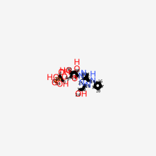 CC(CO)(OC[C@H]1O[C@@H](n2ncc3c(NC4CCCC4)nc(CCO)nc32)[C@H](O)[C@@H]1O)P(=O)(O)O